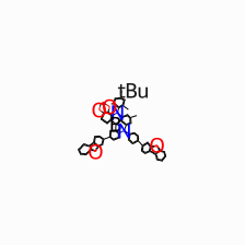 Cc1cc2c3c(c1)N(c1c(C)cc(C(C)(C)C)cc1C)c1c(ccc4c1OCCO4)B3c1cc(-c3ccc4c(c3)oc3ccccc34)ccc1N2c1ccc(-c2ccc3c(c2)oc2ccccc23)cc1